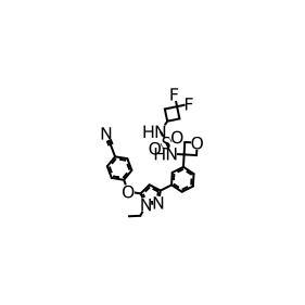 CCn1nc(-c2cccc(C3(NS(=O)(=O)NC4CC(F)(F)C4)COC3)c2)cc1Oc1ccc(C#N)cc1